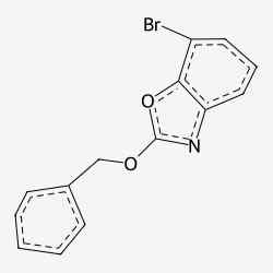 Brc1cccc2nc(OCc3ccccc3)oc12